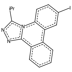 CC(C)c1nnc2c3ccccc3c3cc(I)ccc3n12